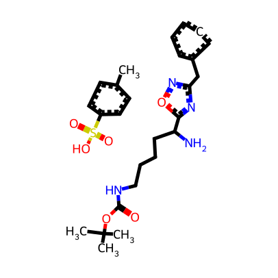 CC(C)(C)OC(=O)NCCCCC(N)c1nc(Cc2ccccc2)no1.Cc1ccc(S(=O)(=O)O)cc1